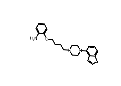 Nc1ccccc1OCCCCN1CCN(c2cccc3sccc23)CC1